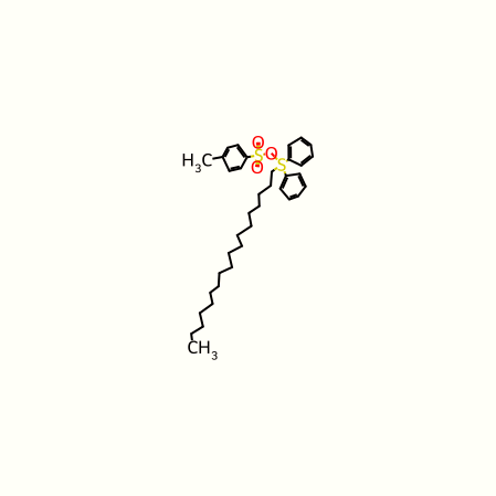 CCCCCCCCCCCCCCCCCCS(OS(=O)(=O)c1ccc(C)cc1)(c1ccccc1)c1ccccc1